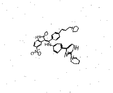 O=C1Nc2ccc([N+](=O)[O-])cc2C1=C(Nc1ccc(-c2c[nH]c(N3CCCCC3)n2)cc1)c1ccc(CCCN2CCCC2)cc1